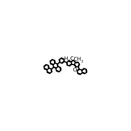 CC1(C)c2cc(-c3cccc(-c4c5ccccc5c(-c5cccc6ccccc56)c5ccccc45)c3)ccc2-c2c1ccc1c2oc2ccc3ccccc3c21